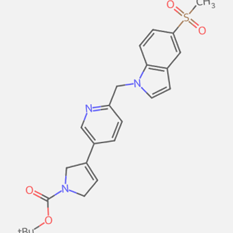 CC(C)(C)OC(=O)N1CC=C(c2ccc(Cn3ccc4cc(S(C)(=O)=O)ccc43)nc2)C1